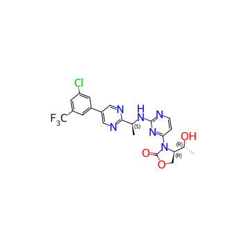 C[C@H](Nc1nccc(N2C(=O)OC[C@@H]2[C@@H](C)O)n1)c1ncc(-c2cc(Cl)cc(C(F)(F)F)c2)cn1